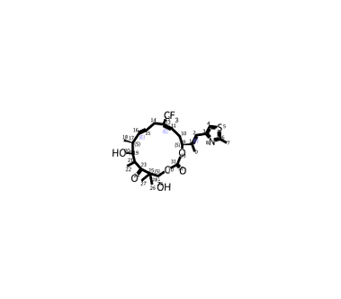 C/C(=C\c1csc(C)n1)[C@@H]1C/C=C(/C(F)(F)F)C/C=C/[C@H](C)[C@H](O)C(C)C(=O)C(C)(C)[C@@H](O)CC(=O)O1